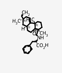 C=C[C@@]1(C)CC=C2[C@@H](CC[C@@H]3[C@](C)(C(=O)N[C@@H](Cc4ccccc4)C(=O)O)CCC[C@@]23C)C1